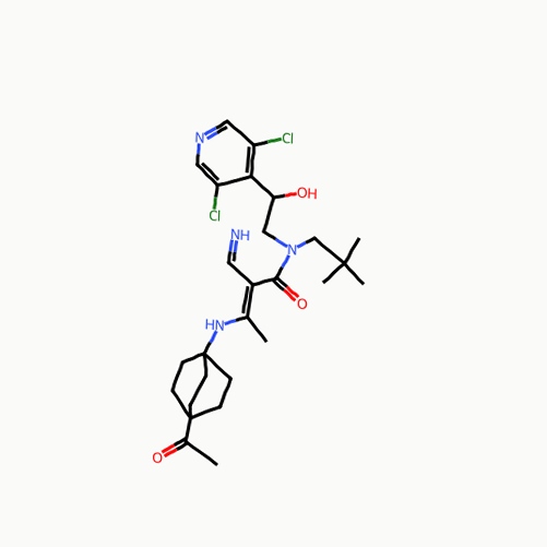 CC(=O)C12CCC(N/C(C)=C(\C=N)C(=O)N(CC(O)c3c(Cl)cncc3Cl)CC(C)(C)C)(CC1)CC2